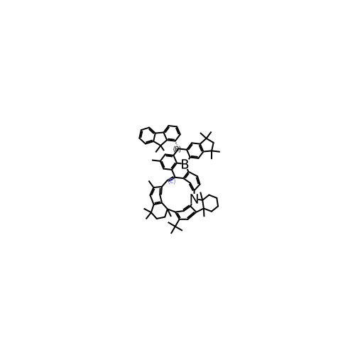 Cc1cc2c3c(c1)[C@H](c1cccc4c1C(C)(C)c1ccccc1-4)c1cc4c(cc1B3c1ccc3cc1/C2=C\c1cc2c(cc1C)C(C)(C)CCC2(C)c1cc2c(cc1C(C)(C)C)C1(C)CCCCC1(C)N32)C(C)(C)CC4(C)C